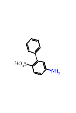 Nc1ccc(S(=O)(=O)O)c(-c2ccccc2)c1